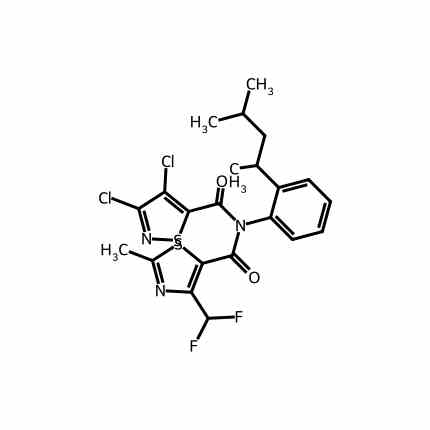 Cc1nc(C(F)F)c(C(=O)N(C(=O)c2snc(Cl)c2Cl)c2ccccc2C(C)CC(C)C)s1